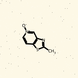 Cc1nc2c[n+]([O-])ccc2s1